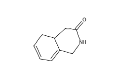 O=C1CC2CC=CC=C2CN1